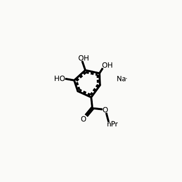 CCCOC(=O)c1cc(O)c(O)c(O)c1.[Na]